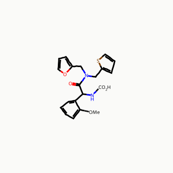 COc1ccccc1C(NC(=O)O)C(=O)N(Cc1ccco1)Cc1cccs1